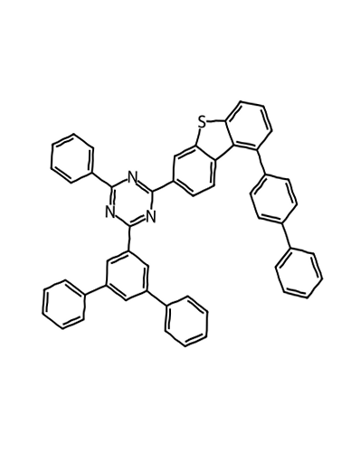 c1ccc(-c2ccc(-c3cccc4sc5cc(-c6nc(-c7ccccc7)nc(-c7cc(-c8ccccc8)cc(-c8ccccc8)c7)n6)ccc5c34)cc2)cc1